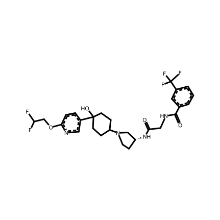 O=C(CNC(=O)c1cccc(C(F)(F)F)c1)N[C@@H]1CCN(C2CCC(O)(c3ccc(OCC(F)F)nc3)CC2)C1